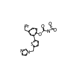 CC(C)Cc1ccc(OC(=O)N=S(=O)=O)c(-c2ccc(Cn3ccnc3)s2)c1